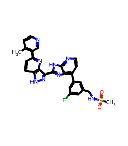 Cc1ccncc1-c1ccc2[nH]nc(-c3nc4c(-c5cc(F)cc(CNS(C)(=O)=O)c5)ccnc4[nH]3)c2n1